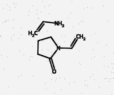 C=CN.C=CN1CCCC1=O